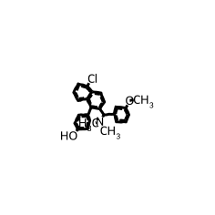 COc1cccc(C(c2ccc3c(Cl)cccc3c2-c2ccc(O)cc2)N(C)C)c1